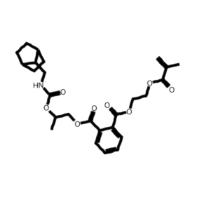 C=C(C)C(=O)OCCOC(=O)c1ccccc1C(=O)OCC(C)OC(=O)NCC1C2CCC1CC2